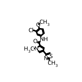 COc1ccc(NC(=O)c2cc(-c3csc(C)n3)cn2C)cc1Cl